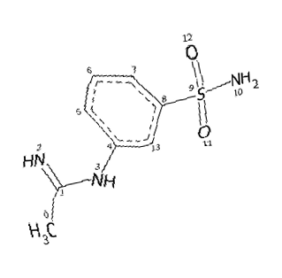 CC(=N)Nc1cccc(S(N)(=O)=O)c1